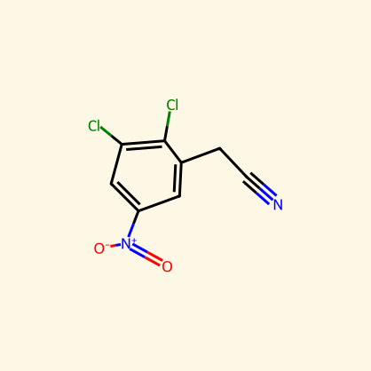 N#CCc1cc([N+](=O)[O-])cc(Cl)c1Cl